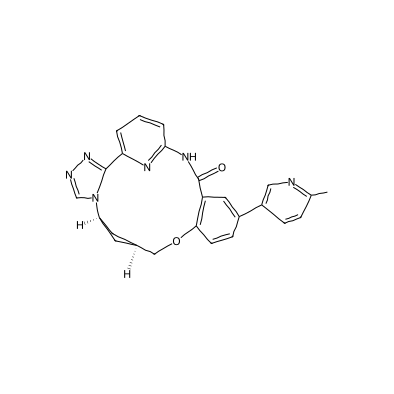 Cc1ccc(-c2ccc3c(c2)C(=O)Nc2cccc(n2)-c2nncn2[C@H]2C[C@@H](CO3)C2)cn1